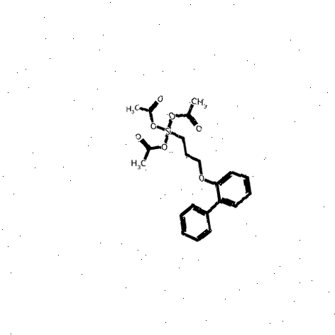 CC(=O)O[Si](CCCOc1ccccc1-c1ccccc1)(OC(C)=O)OC(C)=O